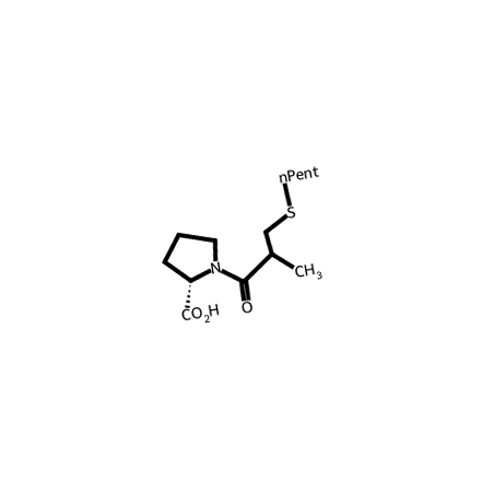 CCCCCSCC(C)C(=O)N1CCC[C@H]1C(=O)O